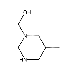 CC1CNCN([CH]O)C1